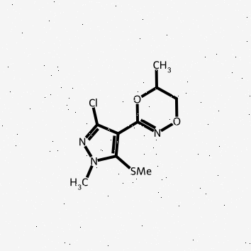 CSc1c(C2=NOCC(C)O2)c(Cl)nn1C